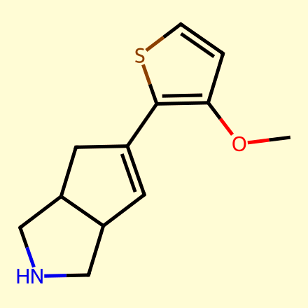 COc1ccsc1C1=CC2CNCC2C1